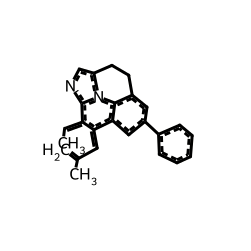 C=C(C)/C=c1\c(=C/C)c2ncc3n2c2c(cc(-c4ccccc4)cc12)CC3